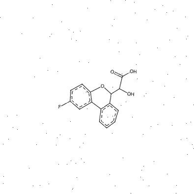 O=C(O)C(O)C1Oc2ccc(F)cc2-c2ccccc21